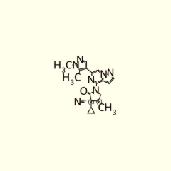 Cc1c(-c2cn3nccc3c(N3C[C@@H](C)[C@@](C#N)(C4CC4)C3=O)n2)cnn1C